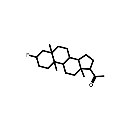 CC(=O)C1CCC2C3CCC4(C)CC(F)CCC4(C)C3CCC12C